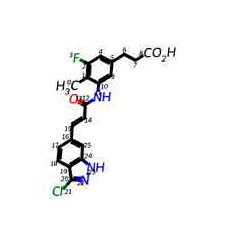 Cc1c(F)cc(CCC(=O)O)cc1NC(=O)C=Cc1ccc2c(Cl)n[nH]c2c1